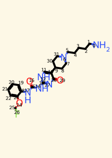 NCCCCCN1CCC(c2c[nH]c(NC(=O)Nc3ccccc3OCF)nc2=O)CC1